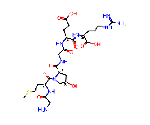 CSCC[C@H](NC(=O)CN)C(=O)N1C[C@H](O)C[C@H]1C(=O)NCC(=O)N[C@@H](CCC(=O)O)C(=O)N[C@@H](CCCNC(=N)N)C(=O)O